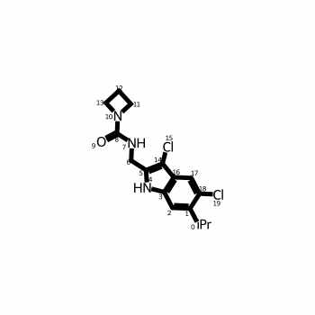 CC(C)c1cc2[nH]c(CNC(=O)N3CCC3)c(Cl)c2cc1Cl